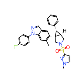 Cc1cc2c(cnn2-c2ccc(F)cc2)cc1[C@@]12CN(S(=O)(=O)c3ccn(C)n3)C[C@@H]1[C@H]2c1ccccc1